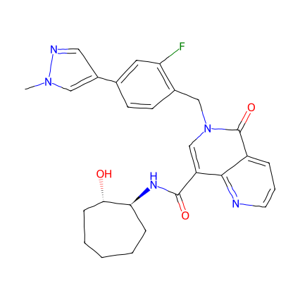 Cn1cc(-c2ccc(Cn3cc(C(=O)N[C@H]4CCCCC[C@@H]4O)c4ncccc4c3=O)c(F)c2)cn1